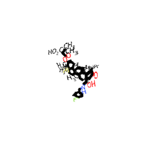 CC(C)C1=C2[C@H]3CC[C@@H]4[C@@]5(C)CC[C@H](OC(=O)CC(C)(C)C(=O)O)C(C)(C)C5(S)CC[C@@]4(C)[C@]3(C)CC[C@@]2([C@H](O)CNCc2ccc(F)cc2)CC1=O